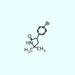 CC1(C)CC(c2ccc(Br)cc2)C(=O)N1